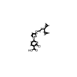 O=C(O)c1ccc(-n2ccc(OCCC(C3CC3)C3CC3)n2)nc1Cl